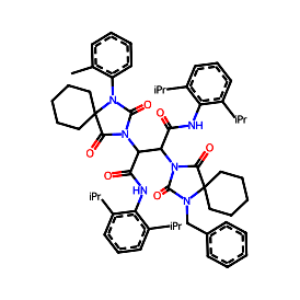 Cc1ccccc1N1C(=O)N(C(C(=O)Nc2c(C(C)C)cccc2C(C)C)C(C(=O)Nc2c(C(C)C)cccc2C(C)C)N2C(=O)N(Cc3ccccc3)C3(CCCCC3)C2=O)C(=O)C12CCCCC2